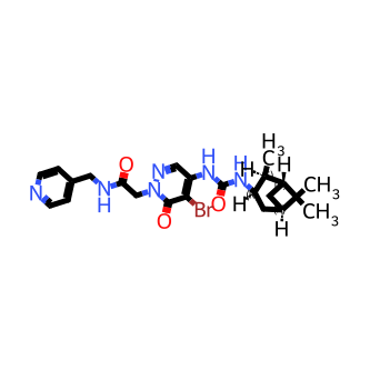 C[C@H]1[C@H]2C[C@H](C[C@H]1NC(=O)Nc1cnn(CC(=O)NCc3ccncc3)c(=O)c1Br)C2(C)C